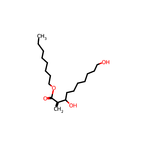 C=C(C(=O)OCCCCCCCC)C(O)CCCCCCCO